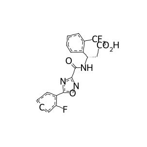 O=C(O)C[C@H](NC(=O)c1noc(-c2ccccc2F)n1)c1ccccc1C(F)(F)F